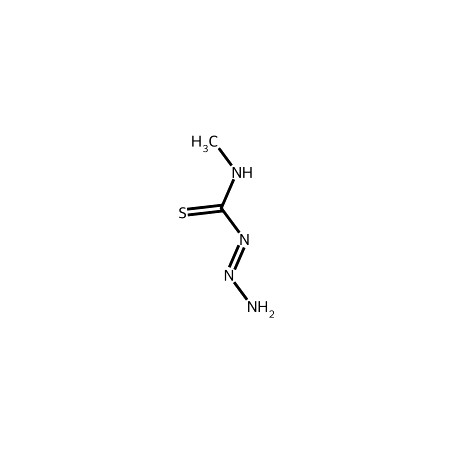 CNC(=S)N=NN